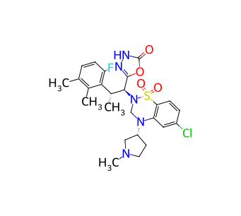 Cc1ccc(F)c([C@@H](C)[C@@H](c2n[nH]c(=O)o2)N2CN([C@@H]3CCN(C)C3)c3cc(Cl)ccc3S2(=O)=O)c1C